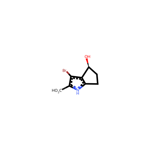 O=C(O)c1[nH]c2c(c1Br)[C@@H](O)CC2